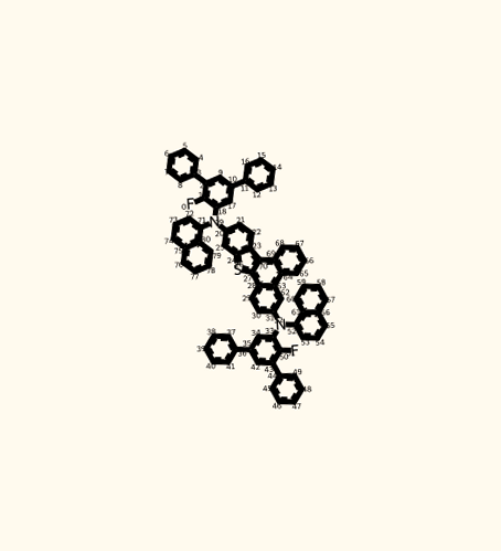 Fc1c(-c2ccccc2)cc(-c2ccccc2)cc1N(c1ccc2c(c1)sc1c3ccc(N(c4cc(-c5ccccc5)cc(-c5ccccc5)c4F)c4cccc5ccccc45)cc3c3ccccc3c21)c1cccc2ccccc12